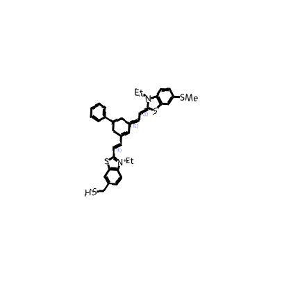 CCN1/C(=C/C=C2C=C(/C=C/c3sc4cc(CS)ccc4[n+]3CC)CC(c3ccccc3)C/2)Sc2cc(SC)ccc21